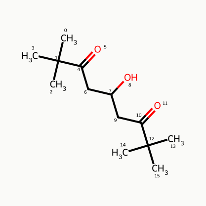 CC(C)(C)C(=O)CC(O)CC(=O)C(C)(C)C